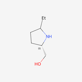 CCC1CC[C@@H](CO)N1